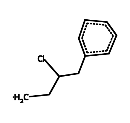 [CH2]CC(Cl)Cc1ccccc1